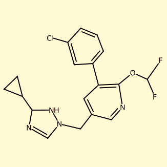 FC(F)Oc1ncc(CN2C=NC(C3CC3)N2)cc1-c1cccc(Cl)c1